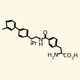 Cc1cccc(-c2ccc([C@H](CNC(=O)c3ccc(C[C@H](N)C(=O)O)cc3)C(C)C)cc2)c1